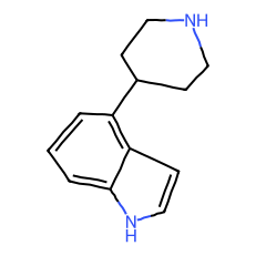 c1cc(C2CCNCC2)c2cc[nH]c2c1